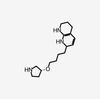 C1=CC(CCCCO[C@@H]2CCNC2)NC2=C1CCCN2